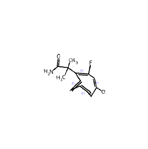 CC(C)(C(N)=O)C1=C(F)/C=C(Cl)\C=C\C=C\1